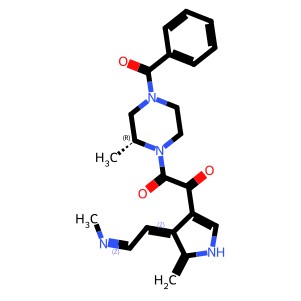 C=c1[nH]cc(C(=O)C(=O)N2CCN(C(=O)c3ccccc3)C[C@H]2C)/c1=C/C=N\C